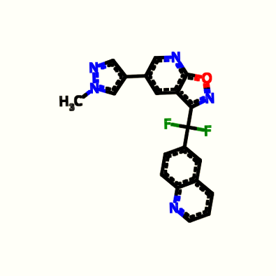 Cn1cc(-c2cnc3onc(C(F)(F)c4ccc5ncccc5c4)c3c2)cn1